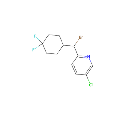 FC1(F)CCC(C(Br)c2ccc(Cl)cn2)CC1